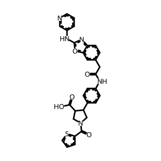 O=C(Cc1ccc2nc(Nc3cccnc3)oc2c1)Nc1ccc(C2CN(C(=O)c3cccs3)CC2C(=O)O)cc1